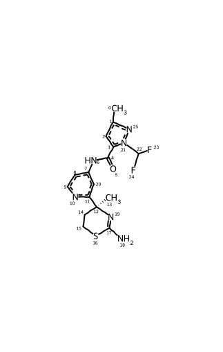 Cc1cc(C(=O)Nc2ccnc([C@]3(C)CCSC(N)=N3)c2)n(C(F)F)n1